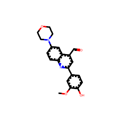 COc1cc(-c2cc(C=O)c3cc(N4CCOCC4)ccc3n2)ccc1O